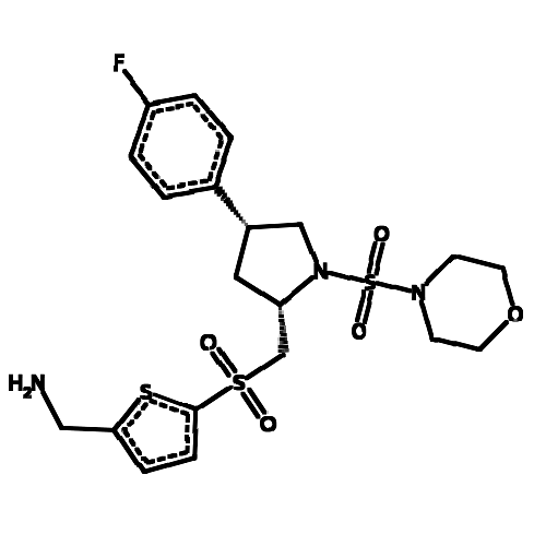 NCc1ccc(S(=O)(=O)C[C@@H]2C[C@H](c3ccc(F)cc3)CN2S(=O)(=O)N2CCOCC2)s1